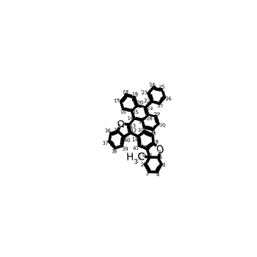 CC12C=CC=CC1Oc1ccc(-c3c(-c4c5ccccc5c(-c5ccccc5)c5ccccc45)oc4ccccc34)cc12